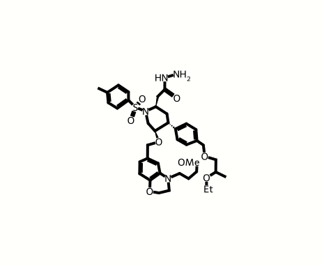 CCOC(C)COCc1ccc([C@H]2C[C@H](CC(=O)NN)N(S(=O)(=O)c3ccc(C)cc3)C[C@@H]2OCc2ccc3c(c2)N(CCCOC)CCO3)cc1